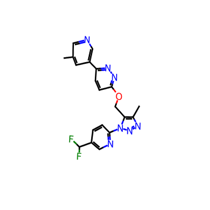 Cc1cncc(-c2ccc(OCc3c(C)nnn3-c3ccc(C(F)F)cn3)nn2)c1